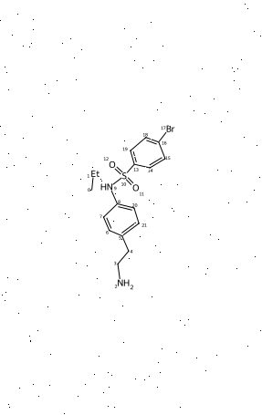 CCC.NCCc1ccc(NS(=O)(=O)c2ccc(Br)cc2)cc1